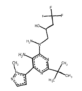 Cn1nccc1-c1nc(C(C)(C)C)nc(N(N)CC(O)CC(F)(F)F)c1N